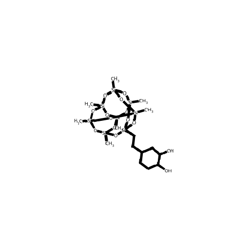 C[Si]12O[Si]3(C)O[Si]4(C)O[Si](C)(O1)O[Si]1(C)O[Si](C)(O2)O[Si](C)(O3)O[Si](CCC2CCC(O)C(O)C2)(O4)O1